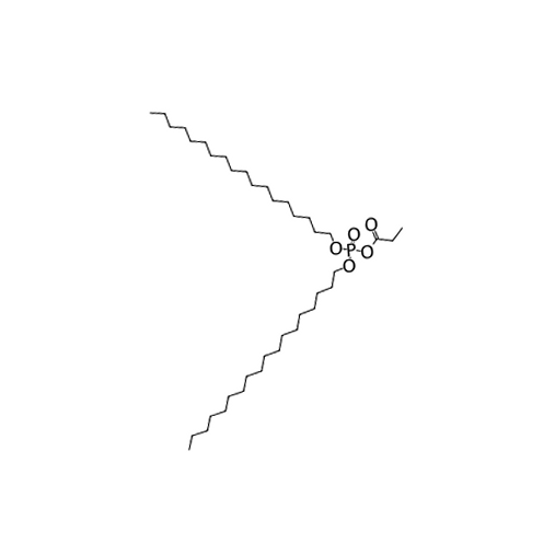 CCCCCCCCCCCCCCCCCCOP(=O)(OCCCCCCCCCCCCCCCCCC)OC(=O)CC